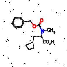 CN(C(=O)OCc1ccccc1)C(CC1CCC1)C(=O)O